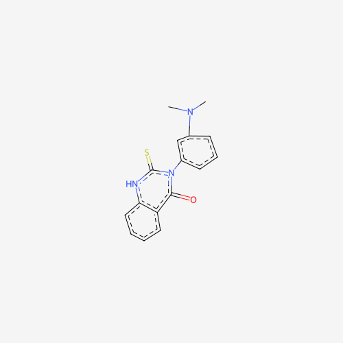 CN(C)c1cccc(-n2c(=S)[nH]c3ccccc3c2=O)c1